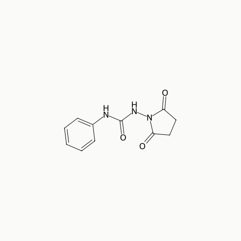 O=C(Nc1ccccc1)NN1C(=O)CCC1=O